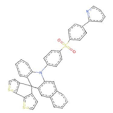 O=S(=O)(c1ccc(-c2ccccn2)cc1)c1ccc(N2c3ccccc3C3(c4cc5ccccc5cc42)c2ccsc2-c2sccc23)cc1